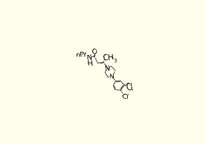 CCCNC(=O)CC(C)N1CCN(c2ccc(Cl)c(Cl)c2)CC1